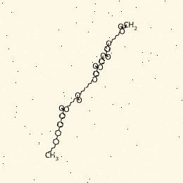 C=CC(=O)OCCCCCCOc1ccc(C(=O)Oc2ccc(OC(=O)c3ccc(OCCCCCCCCOC(=O)CCCCCOC(=O)c4ccc(-c5ccc(C6CCC(C7CCC(CCCCC)CC7)CC6)cc5)cc4)cc3)cc2)cc1